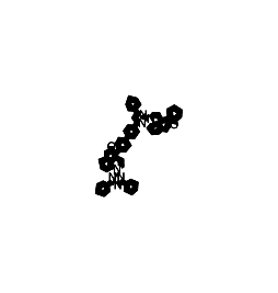 C1=CN(c2nc(-c3ccccc3)cc(-c3ccc(-c4ccc5c(c4)oc4cc6cccc7c6c(c45)C=CN7c4nc(-c5ccccc5)nc(-c5ccccc5)n4)cc3)n2)c2cccc3cc4oc5ccccc5c4c1c23